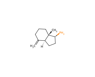 C=C1CCC[C@]2(C)[C@@H](P)CC[C@@H]12